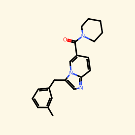 Cc1cccc(Cc2cnc3ccc(C(=O)N4CCCCC4)cn23)c1